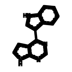 c1ccc2c(-c3ncnc4[nH]ccc34)c[nH]c2c1